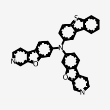 c1ccc2c(c1)sc1ccc(N(c3ccc4c(c3)oc3cnccc34)c3ccc4c(c3)oc3cnccc34)cc12